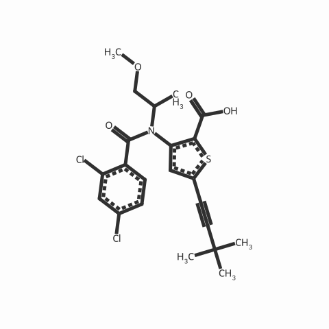 COCC(C)N(C(=O)c1ccc(Cl)cc1Cl)c1cc(C#CC(C)(C)C)sc1C(=O)O